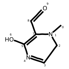 CN1CC=NC(O)=C1[C]=O